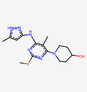 CSc1nc(Nc2cc(C)[nH]n2)c(C)c(N2CCC(O)CC2)n1